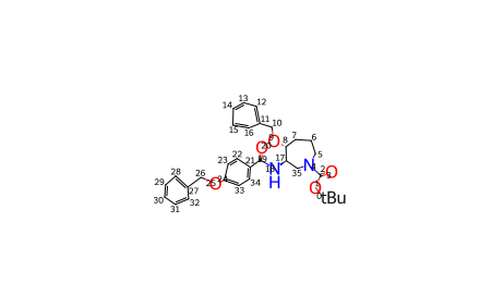 CC(C)(C)OC(=O)N1CCC[C@@H](OCc2ccccc2)[C@H](NC(=O)c2ccc(OCc3ccccc3)cc2)C1